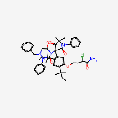 CCC(C)(C)c1cc(C(C)(C)CC)c(C(C(=O)Nc2ccccc2)(C(=O)C(C)(C)C)N2C(=O)CN(Cc3ccccc3)N(c3ccccc3)C2=O)cc1OCCC(Cl)C(N)=O